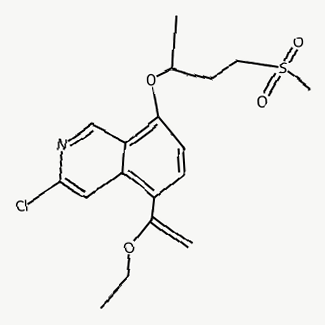 C=C(OCC)c1ccc(OC(C)CCS(C)(=O)=O)c2cnc(Cl)cc12